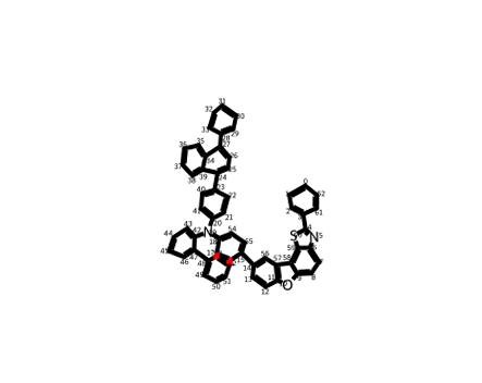 c1ccc(-c2nc3ccc4oc5ccc(-c6ccc(N(c7ccc(-c8ccc(-c9ccccc9)c9ccccc89)cc7)c7ccccc7-c7ccccc7)cc6)cc5c4c3s2)cc1